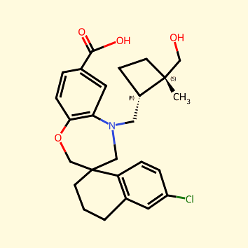 C[C@]1(CO)CC[C@H]1CN1CC2(CCCc3cc(Cl)ccc32)COc2ccc(C(=O)O)cc21